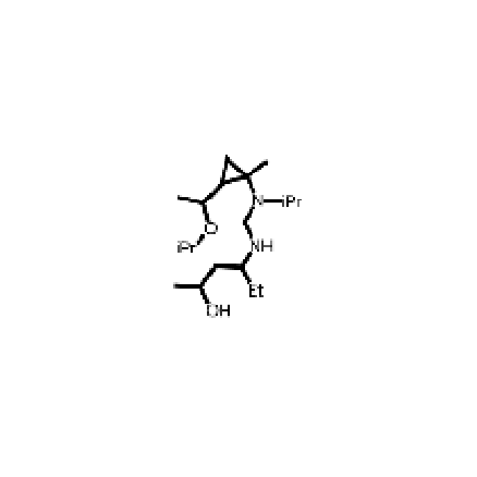 CCC(CC(C)O)NCN(C(C)C)C1(C)CC1C(C)OC(C)C